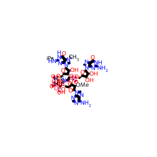 CO[C@@H]1[C@H](OP(=O)([O-])OC[C@H]2O[C@@H](n3cnc4c(=O)[nH]c(N)nc43)[C@H](O)[C@@H]2O)C(COP(=O)(O)OP(=O)(O)OP(=O)(O)OC[C@H]2O[C@@H](n3c[n+](C)c4c(=O)[nH]c(NC(C)C)nc43)[C@H](O)[C@@H]2CC(=O)N(C)C)O[C@H]1n1cnc2c(N)ncnc21